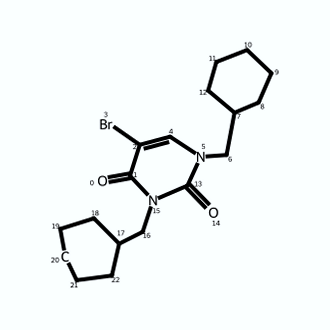 O=c1c(Br)cn(CC2CCCCC2)c(=O)n1CC1CCCCC1